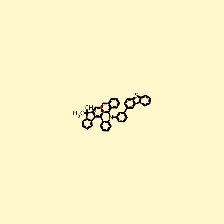 CC1(C)c2ccccc2-c2c(-c3ccccc3N(c3cccc(-c4ccc5sc6ccccc6c5c4)c3)c3cccc4ccccc34)cccc21